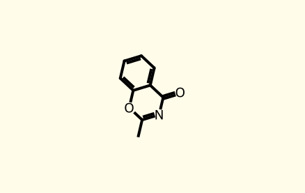 Cc1nc(=O)c2ccccc2o1